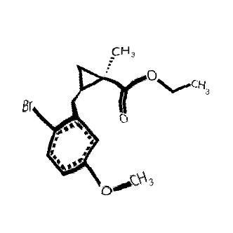 CCOC(=O)[C@]1(C)C[C@@H]1c1cc(OC)ccc1Br